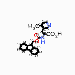 Cc1ccncc1CC(NC(=O)OCC1c2ccccc2-c2ccccc21)C(=O)O